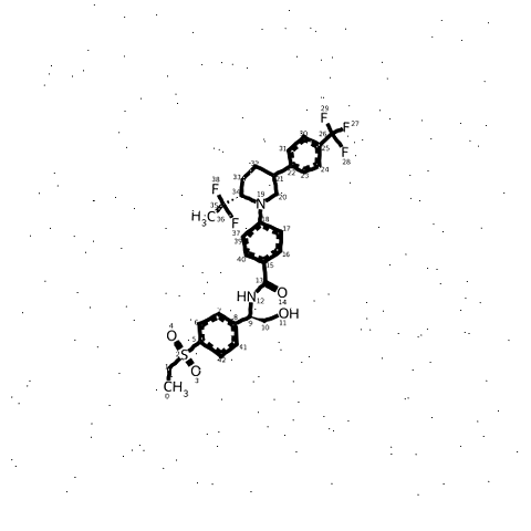 CCS(=O)(=O)c1ccc([C@H](CO)NC(=O)c2ccc(N3CC(c4ccc(C(F)(F)F)cc4)CC[C@H]3C(C)(F)F)cc2)cc1